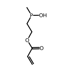 C=CC(=O)OCCP(C)O